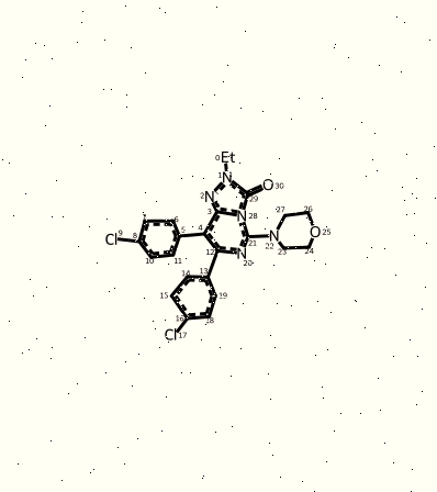 CCn1nc2c(-c3ccc(Cl)cc3)c(-c3ccc(Cl)cc3)nc(N3CCOCC3)n2c1=O